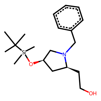 CC(C)(C)[Si](C)(C)O[C@@H]1C[C@H](CCO)N(Cc2ccccc2)C1